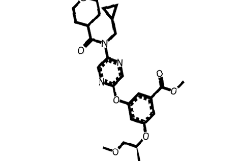 COC[C@H](C)Oc1cc(Oc2cnc(N(CC3CC3)C(=O)C3CCOCC3)cn2)cc(C(=O)OC)c1